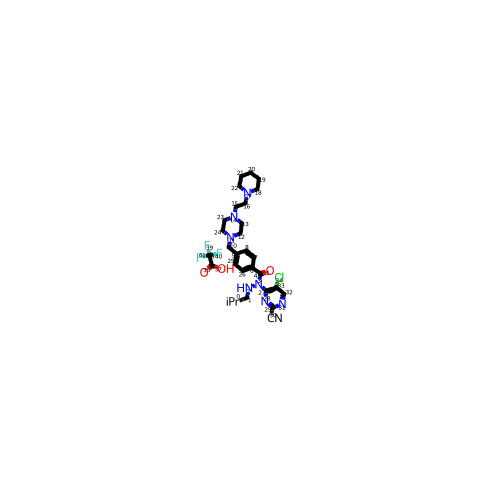 CC(C)CNN(C(=O)c1ccc(CN2CCN(CCN3CCCCC3)CC2)cc1)c1nc(C#N)ncc1Cl.O=C(O)C(F)(F)F